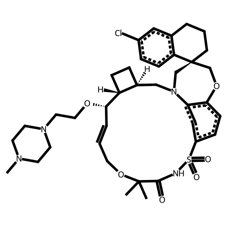 CN1CCN(CCO[C@H]2/C=C/COC(C)(C)C(=O)NS(=O)(=O)c3ccc4c(c3)N(C[C@@H]3CC[C@H]32)C[C@@]2(CCCc3cc(Cl)ccc32)CO4)CC1